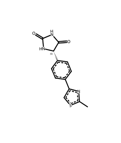 Cc1nc(-c2ccc([C@@H]3NC(=O)NC3=O)cc2)cs1